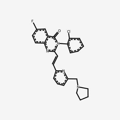 O=c1c2cc(F)ccc2nc(C=Cc2cccc(CN3CCCC3)n2)n1-c1ccccc1Cl